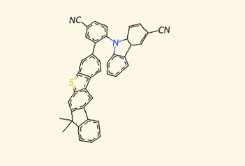 CC1(C)c2ccccc2-c2cc3c(cc21)sc1cc(-c2cc(C#N)ccc2N2c4ccccc4C4C=C(C#N)C=CC42)ccc13